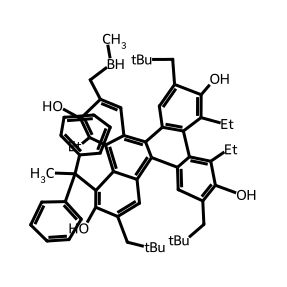 CBCc1cc2c(c(CC)c1O)c1c(C(C)(c3ccccc3)c3ccccc3)c(O)c(CC(C)(C)C)cc1c1c3cc(CC(C)(C)C)c(O)c(CC)c3c3c(CC)c(O)c(CC(C)(C)C)cc3c21